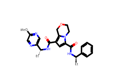 CC[C@@H](NC(=O)c1cc(C(=O)N[C@H](CC)c2cnc(OC)cn2)c2n1CCOC2)c1ccccc1